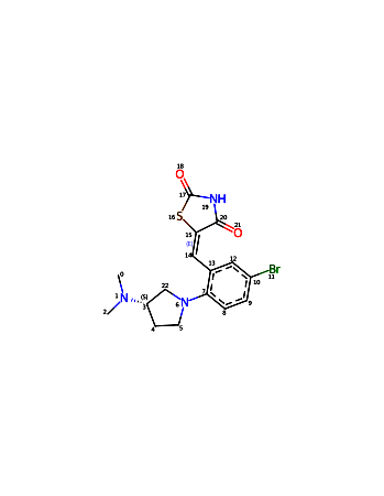 CN(C)[C@H]1CCN(c2ccc(Br)cc2/C=C2/SC(=O)NC2=O)C1